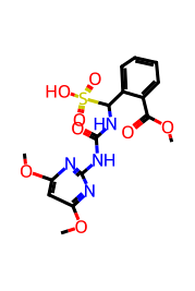 COC(=O)c1ccccc1C(NC(=O)Nc1nc(OC)cc(OC)n1)S(=O)(=O)O